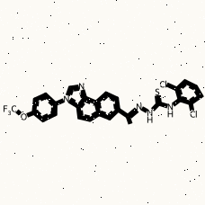 C/C(=N\NC(=S)Nc1c(Cl)cccc1Cl)c1ccc2c(ccc3c2ncn3-c2ccc(OC(F)(F)F)cc2)c1